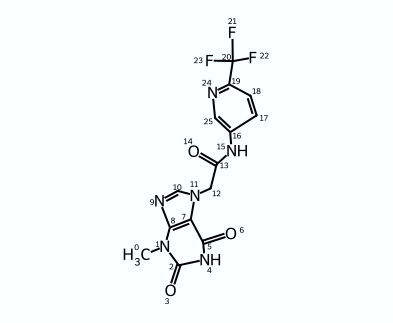 Cn1c(=O)[nH]c(=O)c2c1ncn2CC(=O)Nc1ccc(C(F)(F)F)nc1